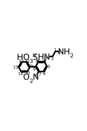 NCCNc1ccc([N+](=O)[O-])c(-c2ccccc2)c1S(=O)(=O)O